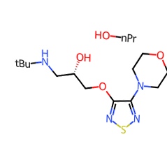 CC(C)(C)NC[C@H](O)COc1nsnc1N1CCOCC1.CCCO